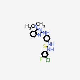 CN(C)c1nc(NC2CCC(NC(=S)Nc3ccc(F)c(Cl)c3)CC2)nc2c1CCCC2